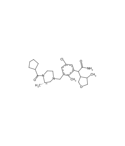 Cc1c(CN2CCN(C(=O)C3CCCC3)[C@@H](C)C2)cc(Cl)cc1C(C(N)=O)C1COCC1C